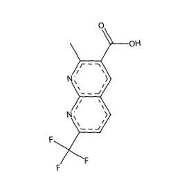 Cc1nc2nc(C(F)(F)F)ccc2cc1C(=O)O